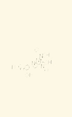 COc1ccc(-c2ccc3c(N4CCOCC4C)nc(N(C)C4CCOCC4)nc3n2)cc1CO